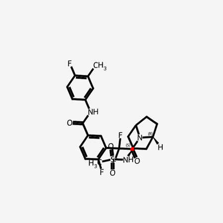 Cc1cc(NC(=O)c2ccc(F)c(C(F)(F)C(=O)N3C4CC[C@@H]3C[C@@H](NS(C)(=O)=O)C4)c2)ccc1F